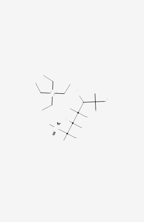 CC[N+](CC)(CC)CC.O=S(=O)([O-])C(F)(F)C(F)(F)C(F)(F)C(F)C(F)(F)F